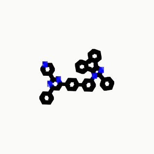 c1ccc(-c2cc(-c3ccc(-c4cccc(-n5c(-c6ccccc6)nc6c7ccccc7c7ccccc7c65)c4)cc3)nc(-c3ccncc3)n2)cc1